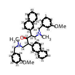 COc1cccc(CN(C)CC(C(=O)C(CN(C)Cc2cccc(OC)c2)c2ccc3ccccc3c2)c2ccc3ccccc3c2)c1